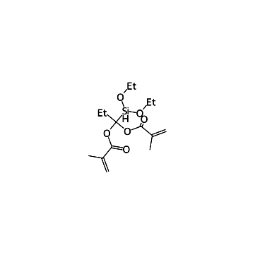 C=C(C)C(=O)OC(CC)(OC(=O)C(=C)C)[SiH](OCC)OCC